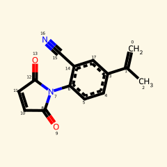 C=C(C)c1ccc(N2C(=O)C=CC2=O)c(C#N)c1